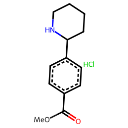 COC(=O)c1ccc(C2CCCCN2)cc1.Cl